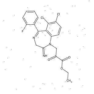 CCOC(=O)C(=O)CN1C(=N)CN=C(c2ccccc2F)c2c1ccc(Cl)c2Cl